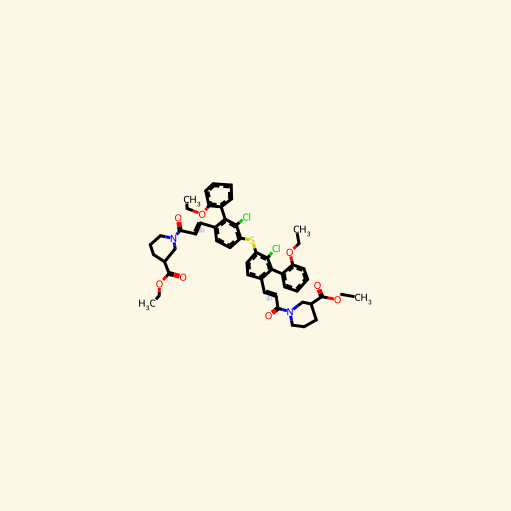 CCOC(=O)C1CCCN(C(=O)/C=C/c2ccc(Sc3ccc(/C=C/C(=O)N4CCCC(C(=O)OCC)C4)c(-c4ccccc4OCC)c3Cl)c(Cl)c2-c2ccccc2OCC)C1